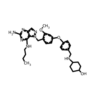 CCCCNc1nc(N)nc2cnn(Cc3ccc(Oc4ccc(CNC5CCC(O)CC5)cc4)cc3OC)c12